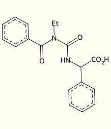 CCN(C(=O)NC(C(=O)O)c1ccccc1)C(=O)c1ccccc1